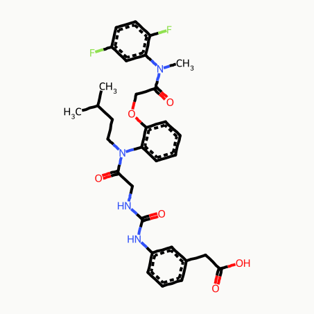 CC(C)CCN(C(=O)CNC(=O)Nc1cccc(CC(=O)O)c1)c1ccccc1OCC(=O)N(C)c1cc(F)ccc1F